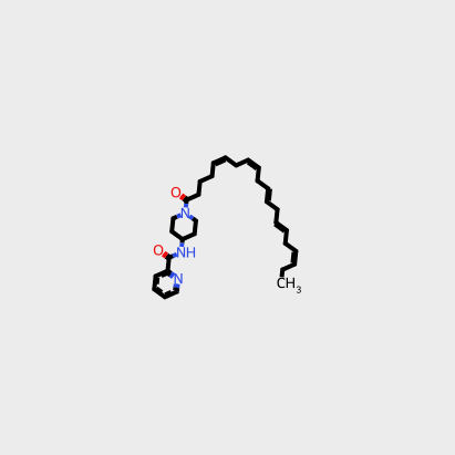 CC/C=C\CC=CCC=CC/C=C\C/C=C\CCCC(=O)N1CCC(NC(=O)c2ccccn2)CC1